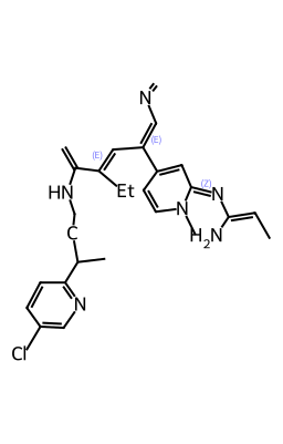 C=N/C=C(\C=C(/CC)C(=C)NCCC(C)c1ccc(Cl)cn1)c1ccn(C)/c(=N\C(N)=CC)c1